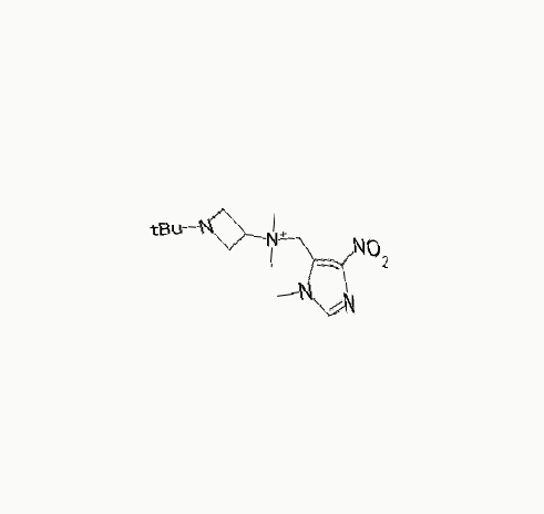 Cn1cnc([N+](=O)[O-])c1C[N+](C)(C)C1CN(C(C)(C)C)C1